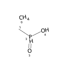 C.C[PH](=O)O